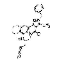 Cc1c2c(=O)n(CC(O)CN=[N+]=[N-])c3cc4c(cc3c2nn1Cc1ccccc1)CCCC4